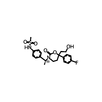 C[C@@H](c1ccc(NS(C)(=O)=O)cc1)N1CCC(CCO)(c2ccc(F)cc2)OC1=O